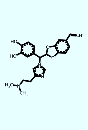 [CH]=Cc1ccc2c(c1)OC(C(c1ccc(O)c(O)c1)n1cnc(CCN(C)C)c1)O2